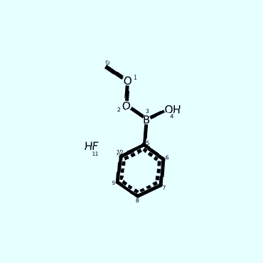 COOB(O)c1ccccc1.F